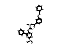 CN(CC(F)c1cccc(OCc2ccccc2)c1)C(=O)Oc1cnc(N(C)C)nc1-c1ccccc1